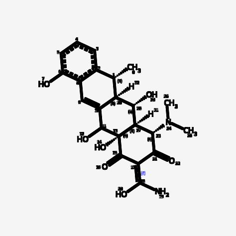 C[C@H]1c2cccc(O)c2C=C2C(O)[C@]3(O)C(=O)/C(=C(/N)O)C(=O)[C@@H](N(C)C)[C@@H]3[C@@H](O)[C@@H]21